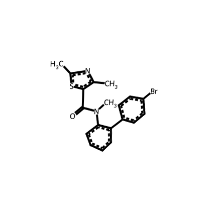 Cc1nc(C)c(C(=O)N(C)c2ccccc2-c2ccc(Br)cc2)s1